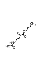 CCCCOC(=O)C(=O)CCCNC(=O)O